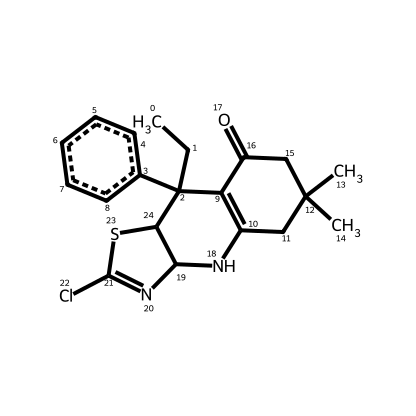 CCC1(c2ccccc2)C2=C(CC(C)(C)CC2=O)NC2N=C(Cl)SC21